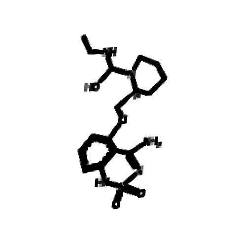 CCNC(O)N1CCCC[C@H]1COc1cccc2c1C(N)=NS(=O)(=O)N2